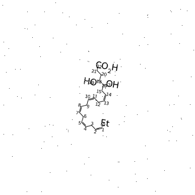 CC/C=C\C/C=C\C/C=C\C/C=C\C/C=C\CC(O)C(O)CCC(=O)O